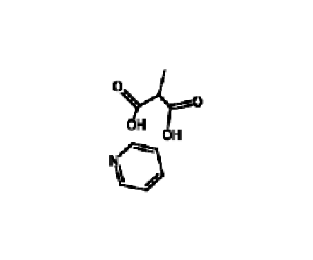 CC(C(=O)O)C(=O)O.c1ccncc1